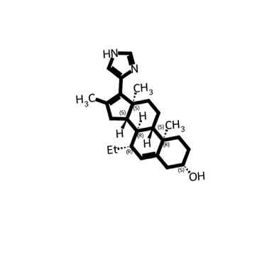 CC[C@H]1C=C2C[C@@H](O)CC[C@]2(C)[C@H]2CC[C@]3(C)C(c4c[nH]cn4)=C(C)C[C@H]3[C@H]12